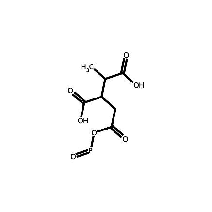 CC(C(=O)O)C(CC(=O)OP=O)C(=O)O